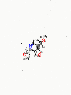 Cc1nc([Si](C)(C)OC(C)C)c2c(c1[Si](C)(C)OC(C)C)COC2